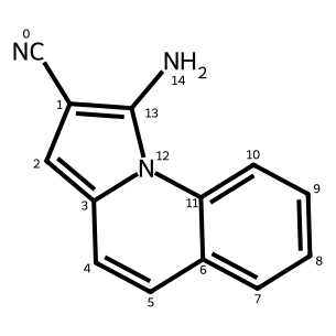 N#Cc1cc2ccc3ccccc3n2c1N